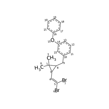 CC1(C)C(C=C(Br)Br)C1Cc1cccc(Oc2ccccc2)c1